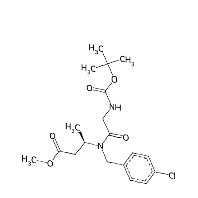 COC(=O)C[C@@H](C)N(Cc1ccc(Cl)cc1)C(=O)CNC(=O)OC(C)(C)C